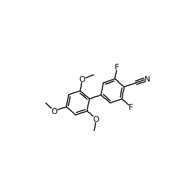 COc1cc(OC)c(-c2cc(F)c(C#N)c(F)c2)c(OC)c1